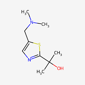 CN(C)Cc1cnc(C(C)(C)O)s1